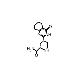 NC(=O)C1CN(c2nc3c(c(=O)[nH]2)CCCC3)CCN1